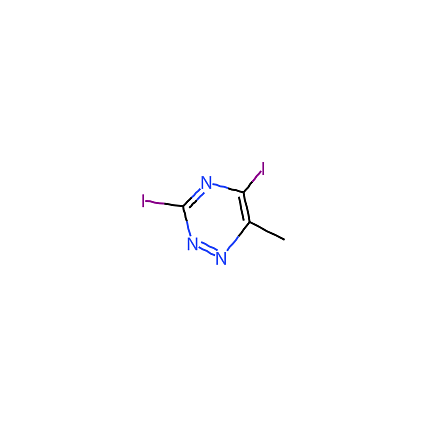 Cc1nnc(I)nc1I